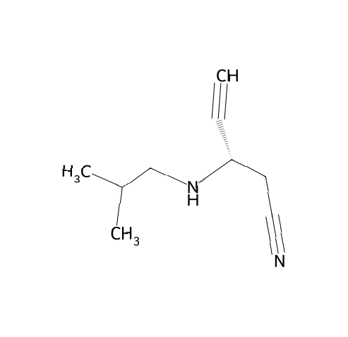 C#C[C@H](CC#N)NCC(C)C